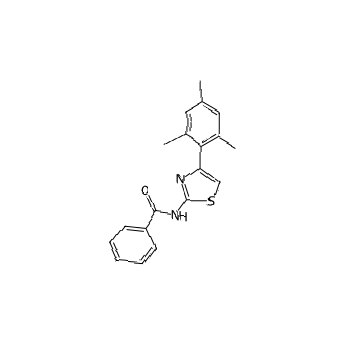 Cc1cc(C)c(-c2csc(NC(=O)c3ccccc3)n2)c(C)c1